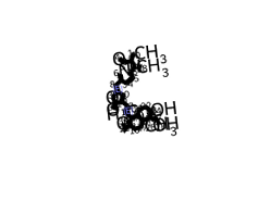 CCC1C(=O)N2C=C(/C=C3C=C(/C=C/C4C5(CCC6[C@]4(C)CC[C@@H](O)[C@@]6(C)CO)CO5)C(=O)O\3)C=CC2N1C